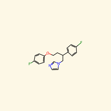 Fc1ccc(OCCC(Cn2ccnc2)c2ccc(F)cc2)cc1